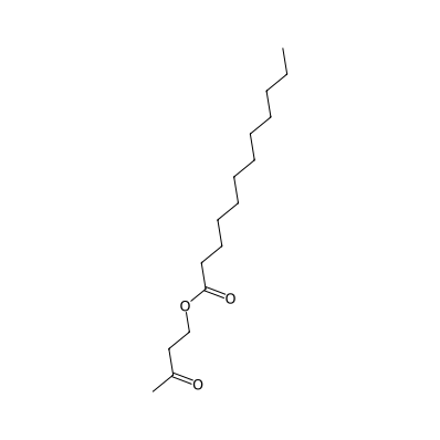 CCCCCCCCCCCC(=O)OCCC(C)=O